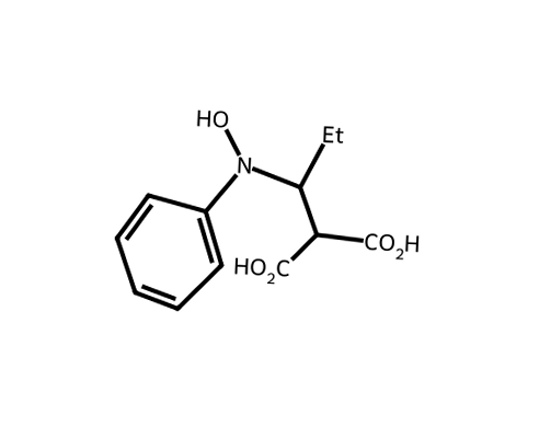 CCC(C(C(=O)O)C(=O)O)N(O)c1ccccc1